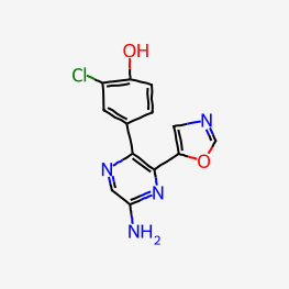 Nc1cnc(-c2ccc(O)c(Cl)c2)c(-c2cnco2)n1